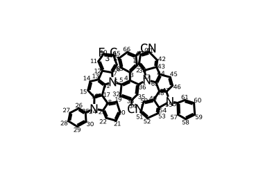 N#Cc1cc(-c2c(-n3c4ccccc4c4ccc5c(c6ccccc6n5-c5ccccc5)c43)cc(C#N)cc2-n2c3ccccc3c3ccc4c(c5ccccc5n4-c4ccccc4)c32)cc(C(F)(F)F)c1